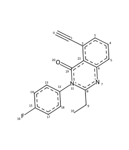 C#Cc1cccc2nc(CC)n(-c3ccc(F)cc3)c(=O)c12